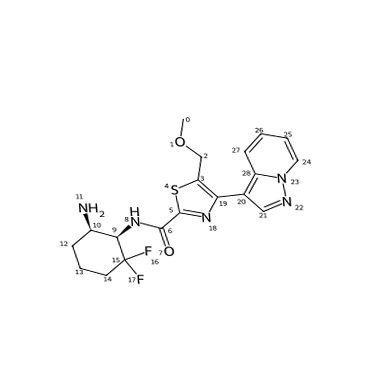 COCc1sc(C(=O)N[C@@H]2[C@H](N)CCCC2(F)F)nc1-c1cnn2ccccc12